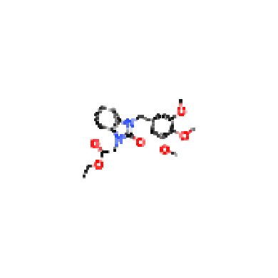 CCOC(=O)Cn1c(=O)n(Cc2cc(OC)c(OC)c(OC)c2)c2ccccc21